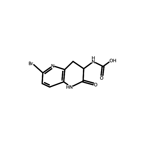 O=C(O)NC1Cc2nc(Br)ccc2NC1=O